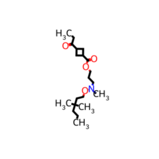 CCCC(C)(C)CCON(C)CCCOC(=O)C1CC(C(=O)CC)C1